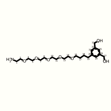 NCCOCCOCCOCCOCCOCCCCc1cc(CO)cc(CO)c1